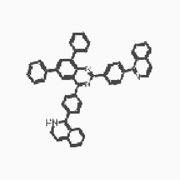 C1=c2ccccc2=C(c2ccc(-c3nc(-c4ccc(-c5nccc6ccccc56)cc4)nc4c(-c5ccccc5)cc(-c5ccccc5)cc34)cc2)NC1